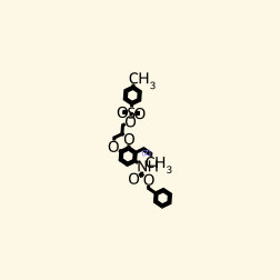 C/C=C\c1c(NC(=O)OCc2ccccc2)ccc2c1OC(COS(=O)(=O)c1ccc(C)cc1)CO2